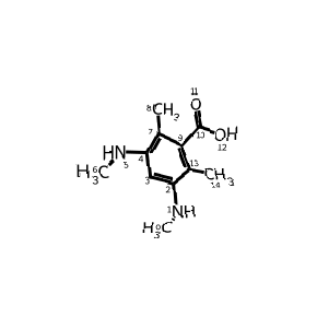 CNc1cc(NC)c(C)c(C(=O)O)c1C